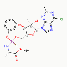 Cc1nc(Cl)c2ncn([C@@H]3O[C@H](COP(=S)(NC(C)C(=O)OC(C)C)Oc4ccccc4)[C@@H](O)[C@@]3(C)O)c2n1